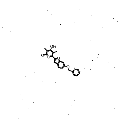 Cc1c(-c2cc3ccc(OCc4ccccn4)cc3o2)oc(=O)c(C)c1O